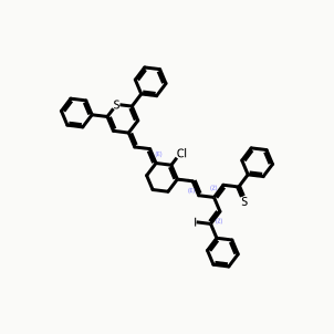 S=C(/C=C(\C=C(/I)c1ccccc1)/C=C/C1=C(Cl)C(=C/C=C2C=C(c3ccccc3)SC(c3ccccc3)=C2)/CCC1)c1ccccc1